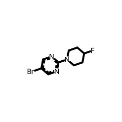 FC1CCN(c2ncc(Br)cn2)CC1